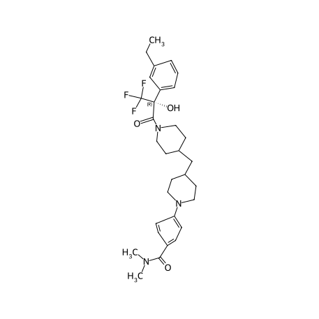 CCc1cccc([C@@](O)(C(=O)N2CCC(CC3CCN(c4ccc(C(=O)N(C)C)cc4)CC3)CC2)C(F)(F)F)c1